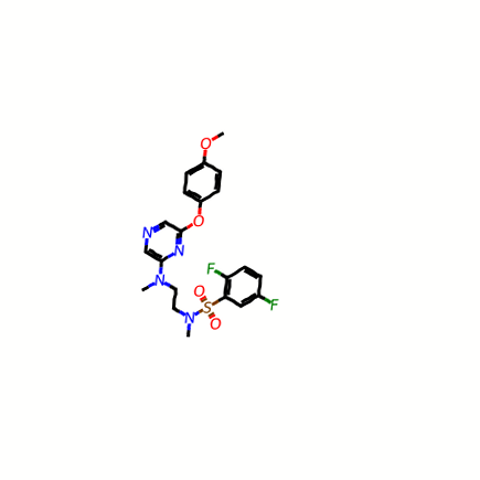 COc1ccc(Oc2cncc(N(C)CCN(C)S(=O)(=O)c3cc(F)ccc3F)n2)cc1